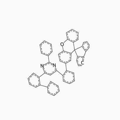 c1ccc(-c2nc(-c3ccccc3-c3ccccc3)cc(-c3ccccc3-c3ccc4c(c3)C3(c5ccccc5O4)c4ccccc4-c4ccccc43)n2)cc1